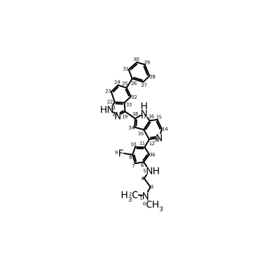 CN(C)CCNc1cc(F)cc(-c2nccc3[nH]c(-c4n[nH]c5ccc(-c6ccccc6)cc45)cc23)c1